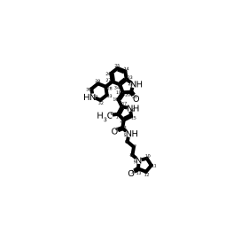 Cc1c(C(=O)NCCCN2CCCC2=O)c[nH]c1C=C1C(=O)Nc2cccc(C3CCNCC3)c21